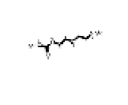 CNCCOCCOC(=O)OC